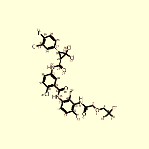 O=C(COCC(F)(F)F)Nc1c(F)ccc(NC(=O)c2cc(NC(=O)[C@H]3[C@H](c4ccc(F)c(Cl)c4)C3(Cl)Cl)ccc2Cl)c1F